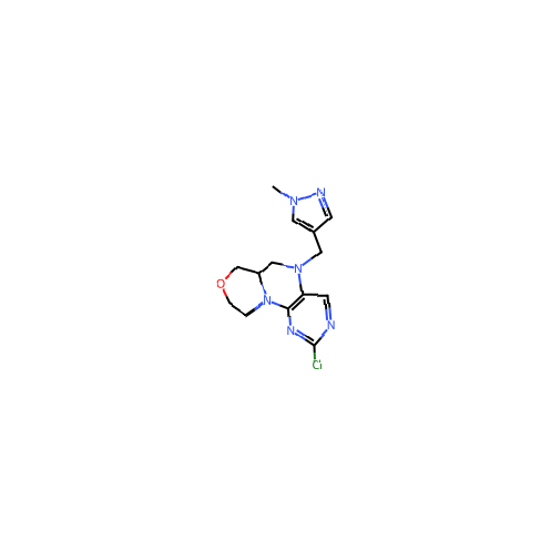 Cn1cc(CN2CC3COCCN3c3nc(Cl)ncc32)cn1